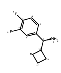 N[C@H](c1ccc(F)c(F)c1)C1CCC1